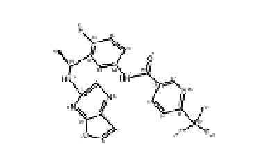 C[C@H](Nc1cnc2ccoc2n1)c1cc(NC(=O)c2ccc(C(F)(F)F)nc2)ccc1F